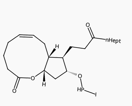 CCCCCCCC(=O)CC[C@@H]1[C@H]2C/C=C\CCCC(=O)O[C@H]2C[C@H]1OPI